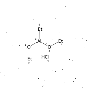 CC[O][Al]([CH2]C)[O]CC.Cl